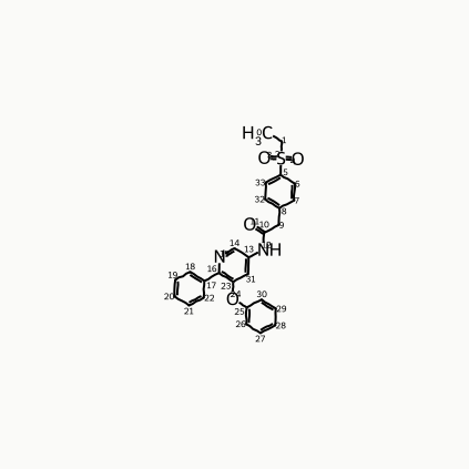 CCS(=O)(=O)c1ccc(CC(=O)Nc2cnc(-c3ccccc3)c(Oc3ccccc3)c2)cc1